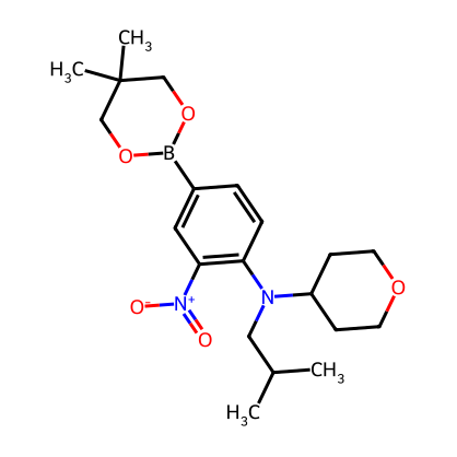 CC(C)CN(c1ccc(B2OCC(C)(C)CO2)cc1[N+](=O)[O-])C1CCOCC1